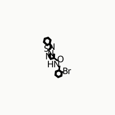 O=C(NCc1ccccc1Br)c1cnn(-c2nc3ccccc3s2)c1